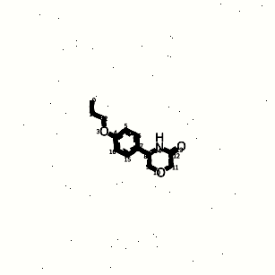 CCCOc1ccc(C2COCC(=O)N2)cc1